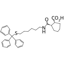 O=C(O)[C@H]1CCCC[C@H]1C(=O)NCCCCCCSC(c1ccccc1)(c1ccccc1)c1ccccc1